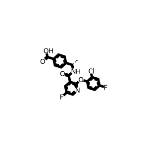 C[C@H](NC(=O)c1cc(F)cnc1Oc1ccc(F)cc1Cl)c1ccc(C(=O)O)cc1